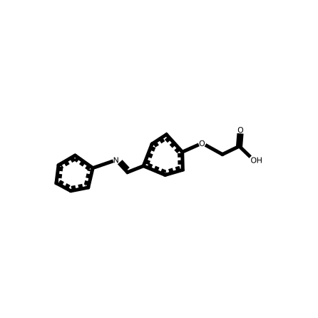 O=C(O)COc1ccc(C=Nc2ccccc2)cc1